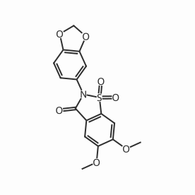 COc1cc2c(cc1OC)S(=O)(=O)N(c1ccc3c(c1)OCO3)C2=O